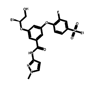 CC[C@@H](CO)Oc1cc(Oc2ccc(S(=O)(=O)CC)cc2F)cc(C(=O)Nc2ccn(C)n2)c1